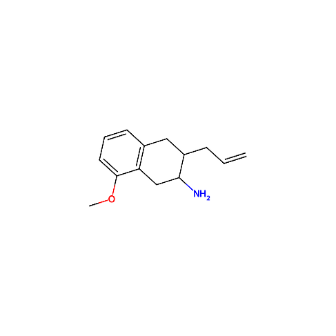 C=CCC1Cc2cccc(OC)c2CC1N